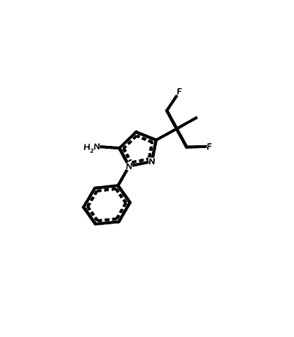 CC(CF)(CF)c1cc(N)n(-c2ccccc2)n1